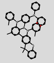 Cc1cc2c3c(c1)N(c1ccccc1C)c1ccc(N(c4ccccc4)c4ccccc4)cc1B3N(c1ccccc1C)c1cc3c(cc1-2)C(C)(C)c1ccccc1S3